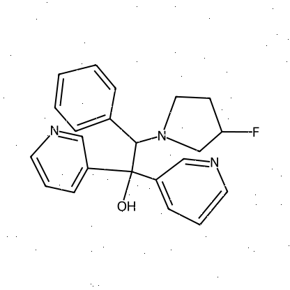 OC(c1cccnc1)(c1cccnc1)C(c1ccccc1)N1CCC(F)C1